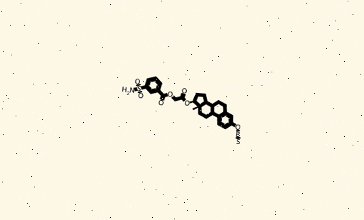 C[C@]12CCC3c4ccc(OB=S)cc4CCC3C1CC[C@@H]2OC(=O)COC(=O)c1cccc(S(N)(=O)=O)c1